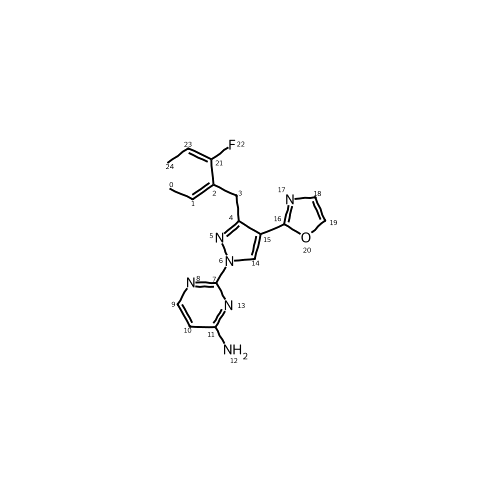 C/C=C(Cc1nn(-c2nccc(N)n2)cc1-c1ncco1)\C(F)=C/C